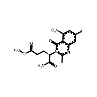 Cc1nc2cc(F)cc([N+](=O)[O-])c2c(=O)n1[C@H](CCC(=O)OC(C)(C)C)C(N)=O